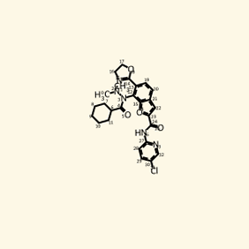 CN(C)N(C(=O)C1CCCCC1)c1c(C2=NCCO2)ccc2cc(C(=O)Nc3ccc(Cl)cn3)oc12